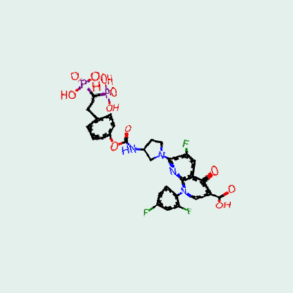 O=C(NC1CCN(c2nc3c(cc2F)c(=O)c(C(=O)O)cn3-c2ccc(F)cc2F)C1)Oc1ccc(CC(P(=O)(O)O)P(=O)(O)O)cc1